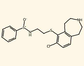 [O-][S+](NCCSc1c(Cl)ccc2c1CCNCC2)c1ccccc1